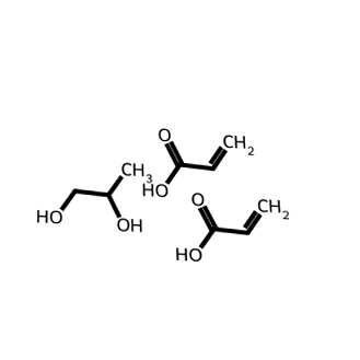 C=CC(=O)O.C=CC(=O)O.CC(O)CO